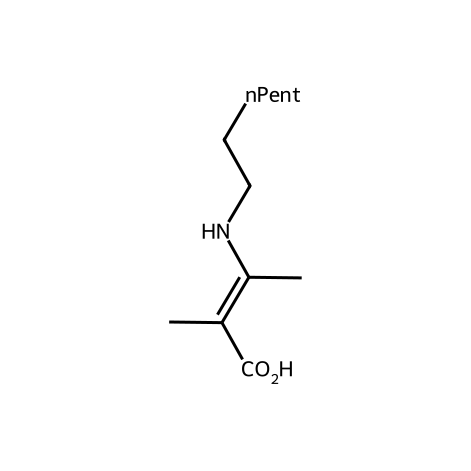 CCCCCCCN/C(C)=C(\C)C(=O)O